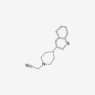 N#CCN1CCC(c2cnc3ccccc3c2)CC1